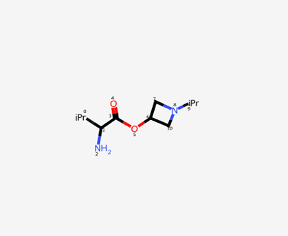 CC(C)C(N)C(=O)OC1CN(C(C)C)C1